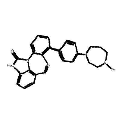 CCN1CCCN(c2ccc(-c3cccc4c3N=Cc3cccc5[nH]c(=O)n-4c35)cc2)CC1